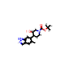 Cc1cc2cn[nH]c2cc1C1CCN(C(=O)OC(C)(C)C)CC1O